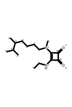 CCNc1c(N(C)CCCCC(C)C(C)C)c(=O)c1=O